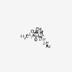 C=CCn1c(=O)c2c(ncn2CCCCC(C)=O)n(C)c1=O